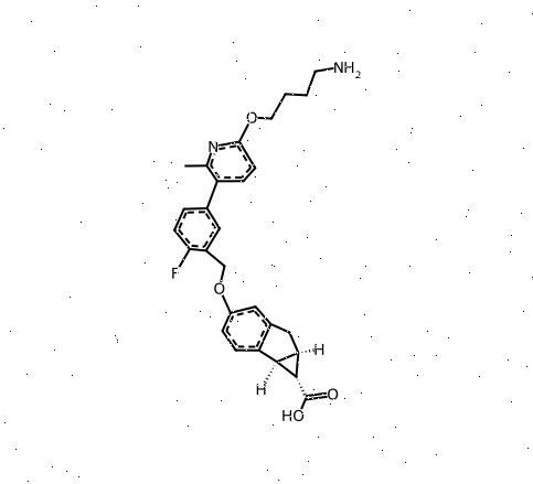 Cc1nc(OCCCCN)ccc1-c1ccc(F)c(COc2ccc3c(c2)C[C@H]2[C@H](C(=O)O)[C@@H]32)c1